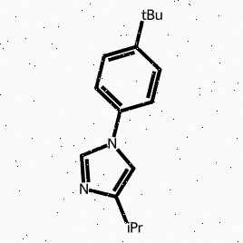 CC(C)c1cn(-c2ccc(C(C)(C)C)cc2)cn1